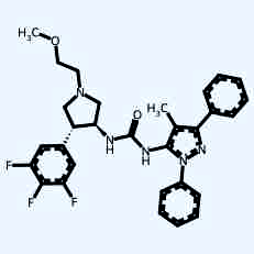 COCCN1C[C@@H](NC(=O)Nc2c(C)c(-c3ccccc3)nn2-c2ccccc2)[C@H](c2cc(F)c(F)c(F)c2)C1